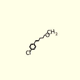 [CH2]OCCCC=Cc1ccc(Cl)cc1